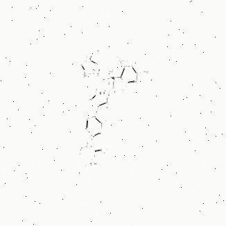 C[C@@H](n1cc(-c2ccc(N3CCCN(C)C3=O)cc2)cn1)[C@](O)(Cn1cncn1)c1ccc(F)cc1F